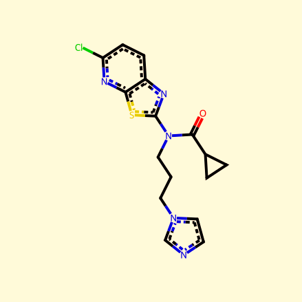 O=C(C1CC1)N(CCCn1ccnc1)c1nc2ccc(Cl)nc2s1